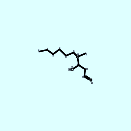 CCCCCCN(C)C(O)CC=O